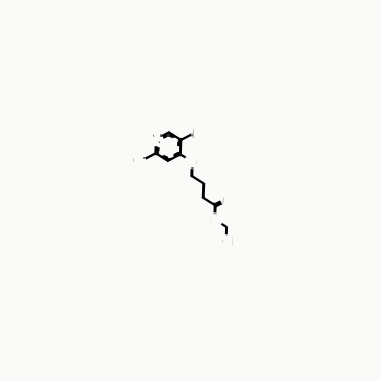 CCOC(=O)CCCOc1cc(Cl)ncc1I